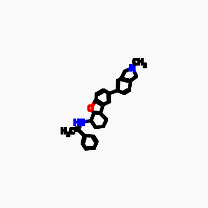 C[C@@H](NC1CCCc2c1oc1ccc(-c3ccc4c(c3)CN(C)C4)cc21)c1ccccc1